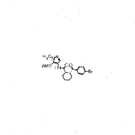 CSc1c(NC(=O)[C@@H]2CCCC[C@H]2C(=O)c2ccc(Br)cc2)cnn1C